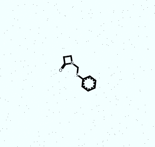 O=C1CCN1CSc1ccccc1